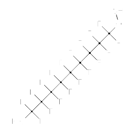 FC(F)(F)C(F)(F)C(F)(F)C(F)(F)C(F)(F)C(F)(F)C(F)(F)C(F)(F)C(F)(F)C(F)(F)OS